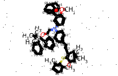 COc1ccc(N(CCO[Si](c2ccccc2)(c2ccccc2)C(C)(C)C)c2ccc(/C=C/C3=C(Sc4c(C)cccc4C)C(=O)CC(C)(C)C3)cc2)cc1C12CC3CC(CC(C3)C1)C2